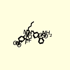 CCCCc1nn(-c2ccc([N+](=O)[O-])cc2C(F)(F)F)c(=O)n1Cc1ccc(-c2ccccc2S(N)(=O)=O)cc1